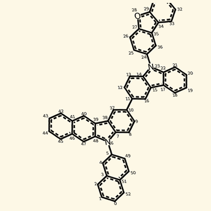 c1ccc2cc(-n3c4ccc(-c5ccc6c(c5)c5ccccc5n6-c5ccc6oc7ccccc7c6c5)cc4c4cc5ccccc5cc43)ccc2c1